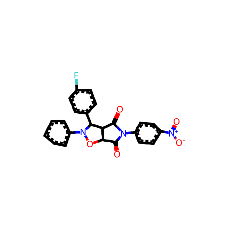 O=C1C2ON(c3ccccc3)C(c3ccc(F)cc3)C2C(=O)N1c1ccc([N+](=O)[O-])cc1